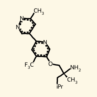 Cc1cc(-c2cc(C(F)(F)F)c(OC[C@](C)(N)CC(C)C)cn2)cnn1